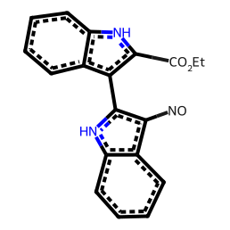 CCOC(=O)c1[nH]c2ccccc2c1-c1[nH]c2ccccc2c1N=O